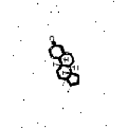 C[C@H]1CC[C@H]2[C@@H]3CCC4=CC(=O)CC[C@@H]4[C@H]3CC[C@]12C